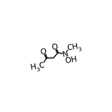 CC(=O)CC(=O)N(C)O